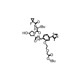 Cc1ncsc1-c1ccc(CNC(=O)[C@@H]2C[C@@H](O)CN2C(=O)[C@@H](NC(=O)C2(F)CC2)C(C)(C)C)c(OCCOCC(=O)OC(C)(C)C)c1